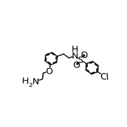 NCCOc1cccc(CCNS(=O)(=O)c2ccc(Cl)cc2)c1